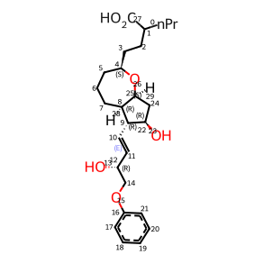 CCCC(CC[C@@H]1CCC[C@@H]2[C@@H](/C=C/[C@@H](O)COc3ccccc3)[C@H](O)C[C@@H]2O1)C(=O)O